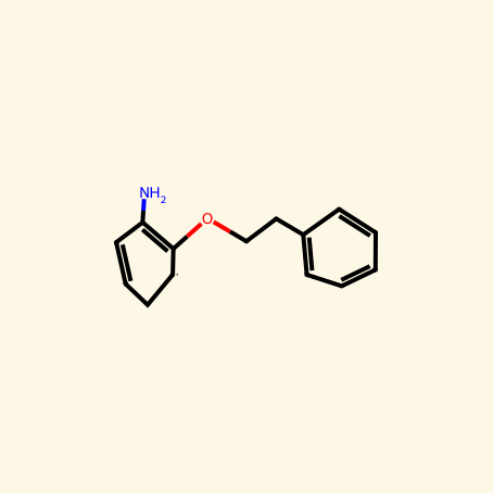 NC1=C(OCCc2ccccc2)[CH]CC=C1